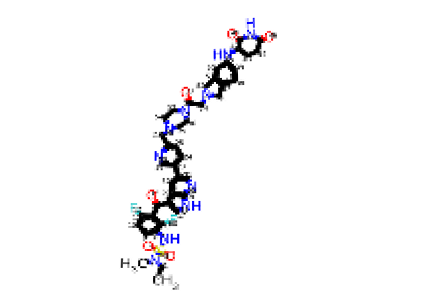 CCN(C)S(=O)(=O)Nc1ccc(F)c(C(=O)c2c[nH]c3ncc(-c4ccc(CN5CCN(C(=O)CN6Cc7ccc(NC8CCC(=O)NC8=O)cc7C6)CC5)nc4)cc23)c1F